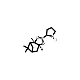 CC1(C)C2CC1[C@]1(C)OB(C3CCCN3Cl)O[C@@H]1C2